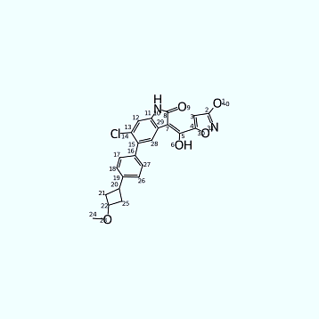 COc1cc(/C(O)=C2\C(=O)Nc3cc(Cl)c(-c4ccc(C5CC(OC)C5)cc4)cc32)on1